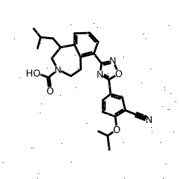 CC(C)CC1CN(C(=O)O)CCc2c(-c3noc(-c4ccc(OC(C)C)c(C#N)c4)n3)cccc21